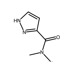 [CH2]N(C)C(=O)c1cc[nH]n1